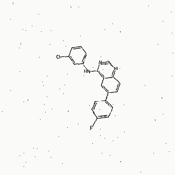 Fc1ccc(-c2ccc3ncnc(Nc4cccc(Cl)c4)c3c2)cc1